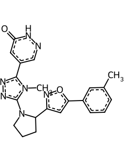 Cc1cccc(-c2cc(C3CCCN3c3nnc(-c4cn[nH]c(=O)c4)n3C)no2)c1